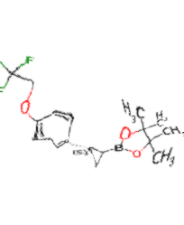 CC1(C)OB(C2C[C@@H]2c2ccc(OCC(F)(F)F)cc2)OC1(C)C